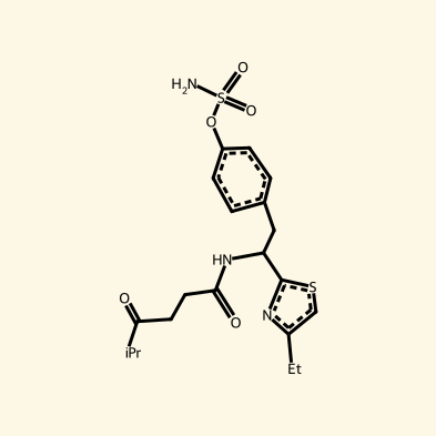 CCc1csc(C(Cc2ccc(OS(N)(=O)=O)cc2)NC(=O)CCC(=O)C(C)C)n1